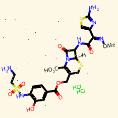 CO/N=C(\C(=O)NC1C(=O)N2C(C(=O)O)=C(COC(=O)c3ccc(NS(=O)(=O)CCN)c(O)c3)CS[C@H]12)c1csc(N)n1.Cl.Cl